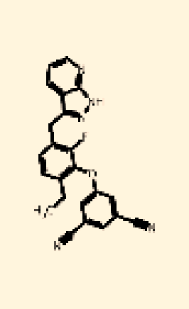 CCc1ccc(Cc2n[nH]c3ncccc23)c(F)c1Oc1cc(C#N)cc(C#N)c1